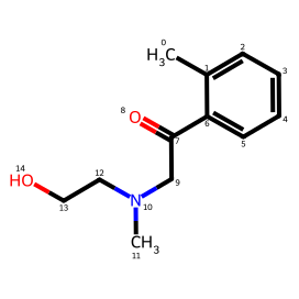 Cc1ccccc1C(=O)CN(C)CCO